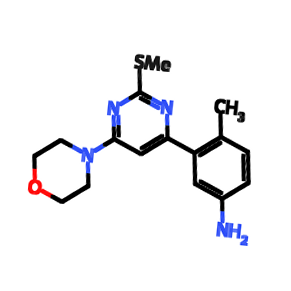 CSc1nc(-c2cc(N)ccc2C)cc(N2CCOCC2)n1